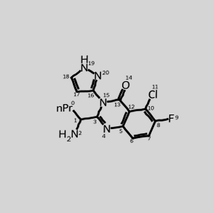 CCCC(N)c1nc2ccc(F)c(Cl)c2c(=O)n1-c1cc[nH]n1